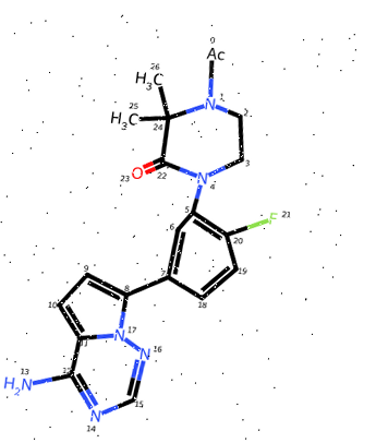 CC(=O)N1CCN(c2cc(-c3ccc4c(N)ncnn34)ccc2F)C(=O)C1(C)C